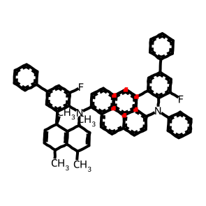 CC1C=CC2(C)C3=C1C(C)C=CC3(C)N(c1ccc3ccc4c(N(c5ccccc5)c5c(F)cc(-c6ccccc6)cc5-c5ccccc5)ccc5ccc1c3c54)c1c(F)cc(-c3ccccc3)cc12